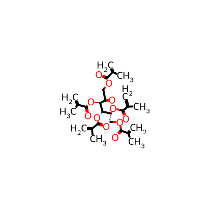 C=C(C)C(=O)OCC(=O)[C@H](OC(=O)C(=C)C)[C@@H](OC(=O)C(=C)C)[C@@H](COC(=O)C(=C)C)OC(=O)C(=C)C